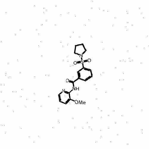 COc1cccnc1NC(=O)c1cccc(S(=O)(=O)N2CCCC2)c1